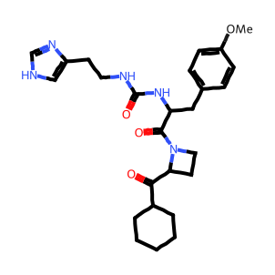 COc1ccc(CC(NC(=O)NCCc2c[nH]cn2)C(=O)N2CCC2C(=O)C2CCCCC2)cc1